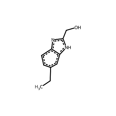 CCc1ccc2nc(CO)[nH]c2c1